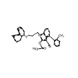 Cc1ccccc1-c1cccc2c1c(C#N)c(OC(=O)O)n2CCCOc1cccc2ccccc12